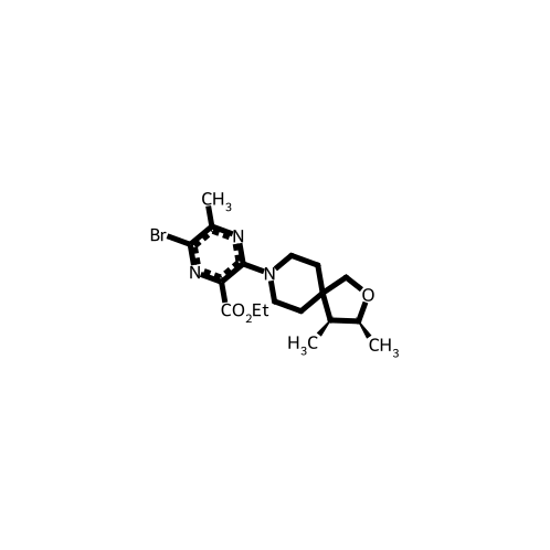 CCOC(=O)c1nc(Br)c(C)nc1N1CCC2(CC1)CO[C@@H](C)[C@H]2C